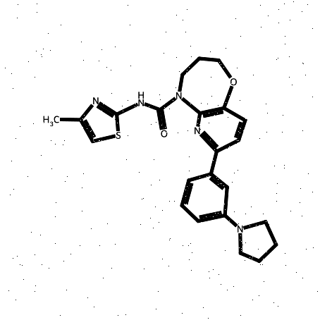 Cc1csc(NC(=O)N2CCCOc3ccc(-c4cccc(N5CCCC5)c4)nc32)n1